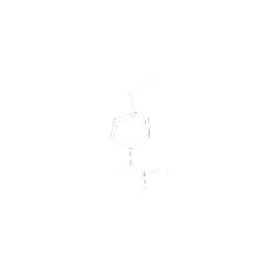 CC(C)Cc1ccc(C(C)C(O)S(=O)(=O)O)cc1